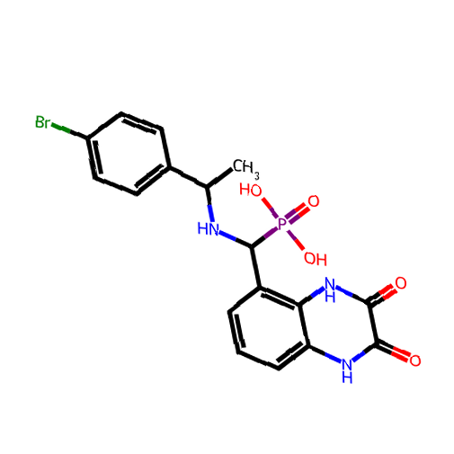 CC(NC(c1cccc2[nH]c(=O)c(=O)[nH]c12)P(=O)(O)O)c1ccc(Br)cc1